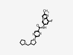 Cc1cn2cc(NC(=O)c3cnc(N4CCC(CN5CCCC5)C4)cn3)cc(F)c2n1